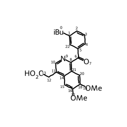 CCC(C)c1cccc(C(=O)c2ncc(CC(=O)O)c3cc(OC)c(OC)cc23)c1